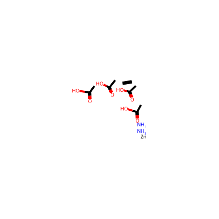 C=C.CC(=O)O.CC(=O)O.CC(=O)O.CC(=O)O.N.N.[Zn]